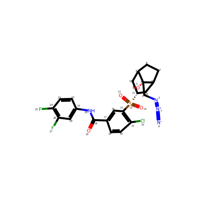 [N-]=[N+]=NC[C@]1(O)C2CCC1C[C@@H](S(=O)(=O)c1cc(C(=O)Nc3ccc(F)c(F)c3)ccc1Cl)C2